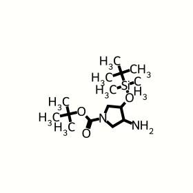 CC(C)(C)OC(=O)N1CC(N)C(O[Si](C)(C)C(C)(C)C)C1